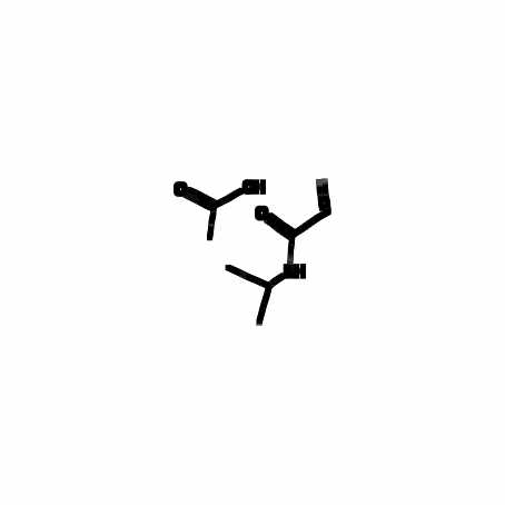 C=CC(=O)NC(C)C.CC(=O)O